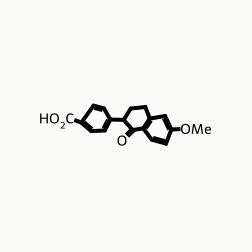 COc1ccc2c(c1)CCC(c1ccc(C(=O)O)cc1)C2=O